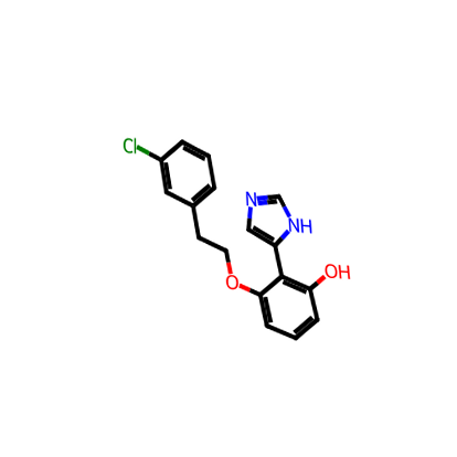 Oc1cccc(OCCc2cccc(Cl)c2)c1-c1cnc[nH]1